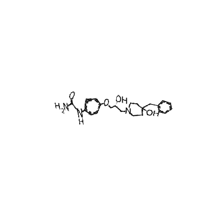 NC(=O)Nc1ccc(OC[C@H](O)CN2CCC(O)(Cc3ccccc3)CC2)cc1